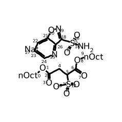 CCCCCCCCOC(=O)CC(C(=O)OCCCCCCCC)S(=O)(=O)[O-].NS(=O)(=O)c1noc2cccnc12.[Na+]